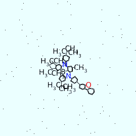 Cc1cc2c3c(c1)N(c1ccc(C(C)(C)C)cc1)c1cc4c(cc1B3c1ccc(C(C)(C)C)cc1N2c1ccc(-c2ccc3c(c2)oc2ccccc23)cc1)C(C)(C)CCC4(C)C